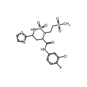 CS(=O)(=O)CCN1C(C(=O)Nc2ccc(F)c(Cl)c2)CC(c2nccs2)NS1(=O)=O